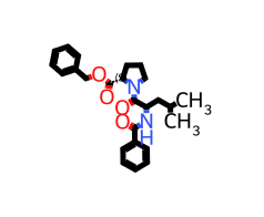 CC(C)CC(NC(=O)c1ccccc1)C(=O)N1CCC[C@H]1C(=O)OCc1ccccc1